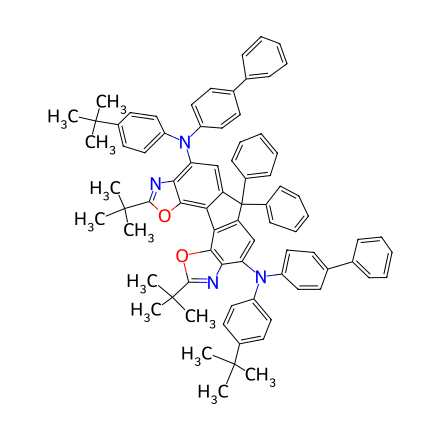 CC(C)(C)c1ccc(N(c2ccc(-c3ccccc3)cc2)c2cc3c(c4oc(C(C)(C)C)nc24)-c2c(cc(N(c4ccc(-c5ccccc5)cc4)c4ccc(C(C)(C)C)cc4)c4nc(C(C)(C)C)oc24)C3(c2ccccc2)c2ccccc2)cc1